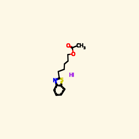 CC(=O)OCCCCCc1nc2ccccc2s1.I